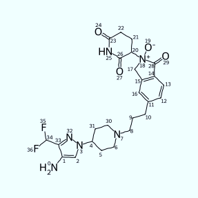 Nc1cn(C2CCN(CCCc3ccc4c(c3)C[N+]([O-])(C3CCC(=O)NC3=O)C4=O)CC2)nc1C(F)F